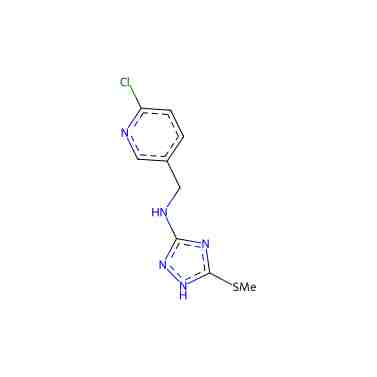 CSc1nc(NCc2ccc(Cl)nc2)n[nH]1